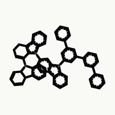 C1=CC2c3ccccc3N(C3=CCCc4c3n(-c3ccc5c6ccccc6n(-c6cc(-c7ccccc7)cc(-c7cccc(-c8ccccc8)c7)c6)c5c3)c3ccccc43)C2C=C1